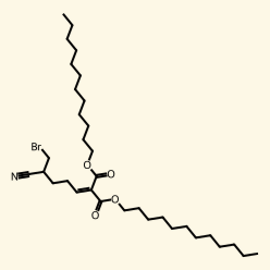 CCCCCCCCCCCCOC(=O)C(=CCCC(C#N)CBr)C(=O)OCCCCCCCCCCCC